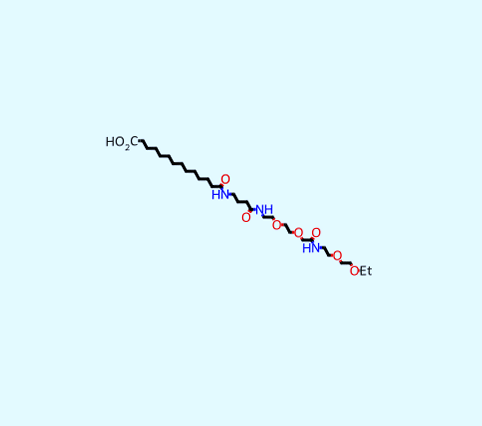 CCOCCOCCNC(=O)COCCOCCNC(=O)CCCNC(=O)CCCCCCCCCCCCC(=O)O